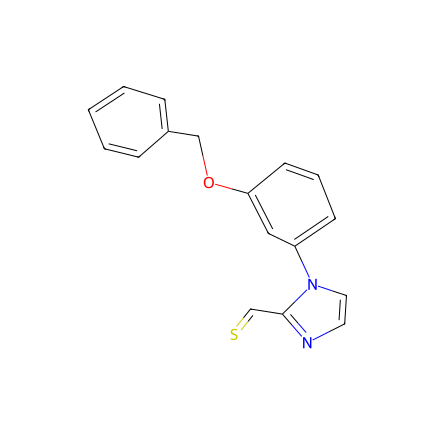 S=Cc1nccn1-c1cccc(OCc2ccccc2)c1